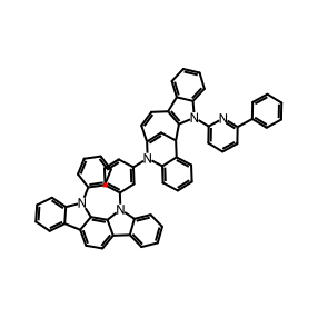 C1=Cc2c(n(-c3cccc(-c4ccccc4)n3)c3ccccc23)C2C=C1N(c1cccc(-n3c4ccccc4c4ccc5c6ccccc6n(-c6ccccc6)c5c43)c1)c1ccccc12